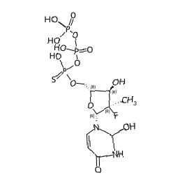 C[C@@]1(F)[C@H](O)[C@@H](COP(O)(=S)OP(=O)(O)OP(=O)(O)O)O[C@H]1N1C=CC(=O)NC1O